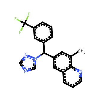 Cc1cc(C(c2cccc(C(F)(F)F)c2)n2cncn2)cc2cccnc12